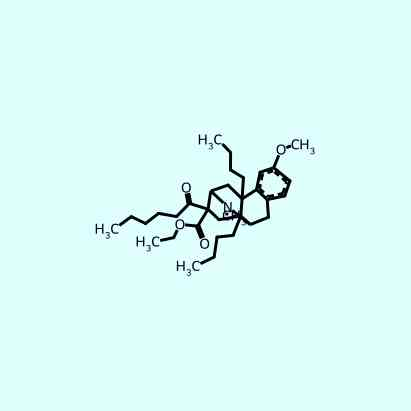 CCCCCC(=O)C1(C(=O)OCC)CC2(CCCC)C3Cc4ccc(OC)cc4C2(CCCC)CC1N3C